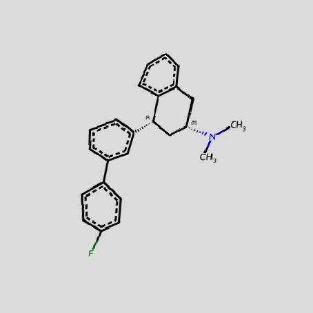 CN(C)[C@H]1Cc2ccccc2[C@@H](c2cccc(-c3ccc(F)cc3)c2)C1